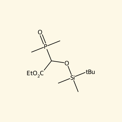 CCOC(=O)C(O[Si](C)(C)C(C)(C)C)P(C)(C)=O